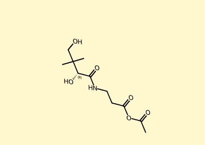 CC(=O)OC(=O)CCNC(=O)[C@H](O)C(C)(C)CO